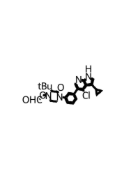 CC(C)(C)C1C(=O)N(c2cccc(-c3cnc4[nH]cc(C5CC5)c4c3Cl)c2)CCN1OC=O